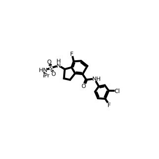 CC(C)NS(=O)(=O)NC1CCc2c(C(=O)Nc3ccc(F)c(Cl)c3)ccc(F)c21